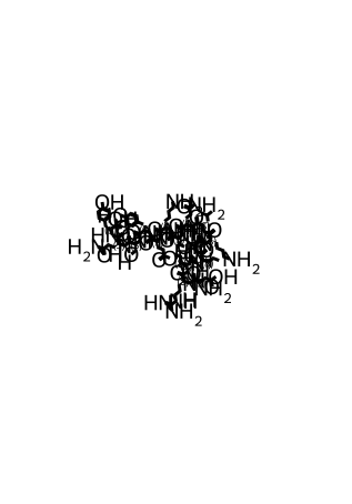 CC[C@H](C)[C@H](NC(=O)[C@H](CCCNC(=N)N)NC(=O)[C@@H](N)CC(=O)O)C(=O)N[C@H](C(=O)N[C@@H](C)C(=O)N[C@@H](CCCCN)C(=O)N[C@@H](CC(C)C)C(=O)N[C@@H](CCC(N)=O)C(=O)N[C@@H](CO)C(=O)N[C@@H](CCCCN)C(=O)N[C@@H](CCC(=O)O)C(=O)N[C@@H](Cc1ccc(O)cc1)C(=O)N[C@@H](CO)C(=O)N[C@@H](CCC(N)=O)C(=O)N[C@@H](Cc1ccc(O)cc1)C(=O)O)[C@@H](C)CC